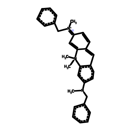 CN(Cc1ccccc1)c1ccc2c(c1)[Si](C)(C)C1=C/C(=[N+](/C)Cc3ccccc3)C=CC1=C2